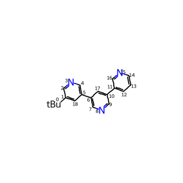 CC(C)(C)c1cncc(-c2cncc(-c3cccnc3)c2)c1